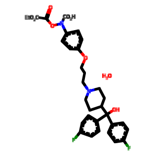 CCOC(=O)C(=O)ON(C(=O)O)c1ccc(OCCCN2CCC(C(O)(c3ccc(F)cc3)c3ccc(F)cc3)CC2)cc1.O